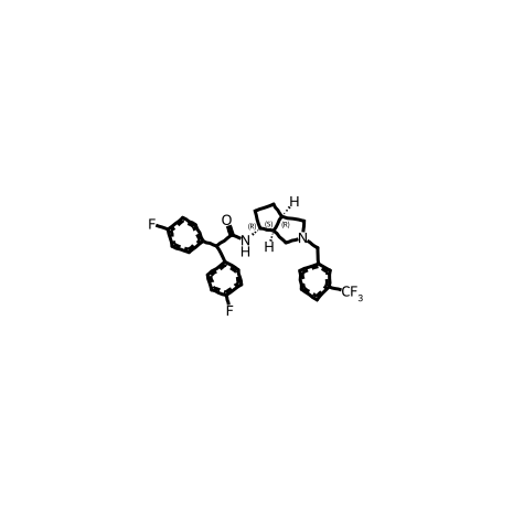 O=C(N[C@@H]1CC[C@H]2CN(Cc3cccc(C(F)(F)F)c3)C[C@H]21)C(c1ccc(F)cc1)c1ccc(F)cc1